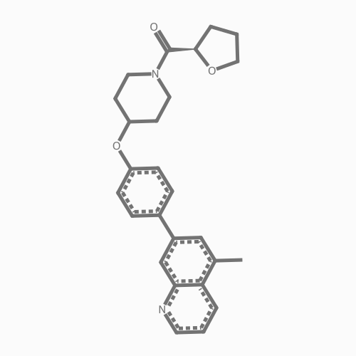 Cc1cc(-c2ccc(OC3CCN(C(=O)[C@H]4CCCO4)CC3)cc2)cc2ncccc12